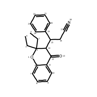 CCC1(CC)Oc2ccccc2C(=O)C1C(CC#N)c1ccccc1